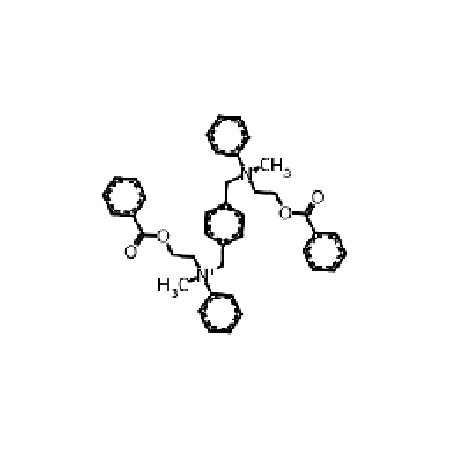 C[N+](CCOC(=O)c1ccccc1)(Cc1ccc(C[N+](C)(CCOC(=O)c2ccccc2)c2ccccc2)cc1)c1ccccc1